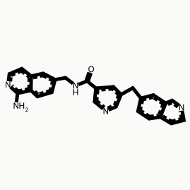 Nc1nccc2cc(CNC(=O)c3cncc(Cc4ccc5ccncc5c4)c3)ccc12